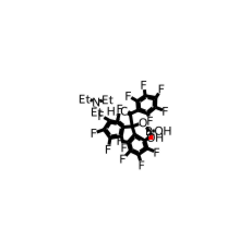 C=C(c1c(F)c(F)c(F)c(F)c1F)C(OB(O)O)(c1c(F)c(F)c(F)c(F)c1F)c1c(F)c(F)c(F)c(F)c1F.CCN(CC)CC